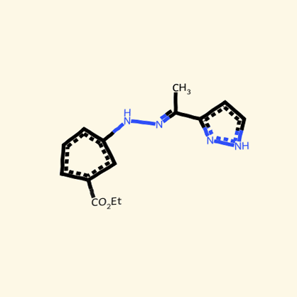 CCOC(=O)c1cccc(N/N=C(\C)c2cc[nH]n2)c1